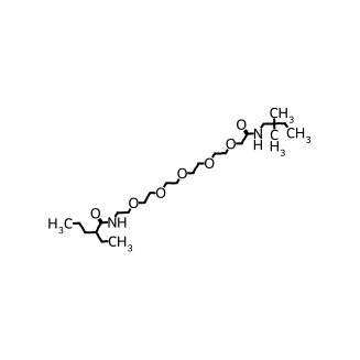 CCCC(CC)C(=O)NCCOCCOCCOCCOCCOCC(=O)NCC(C)(C)CC